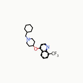 FC(F)(F)c1cccc2c(OC3CCN(CC4CCCCC4)CC3)ccnc12